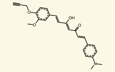 C#CCOc1ccc(C=CC(O)=CC(=O)C=Cc2ccc(N(C)C)cc2)cc1OC